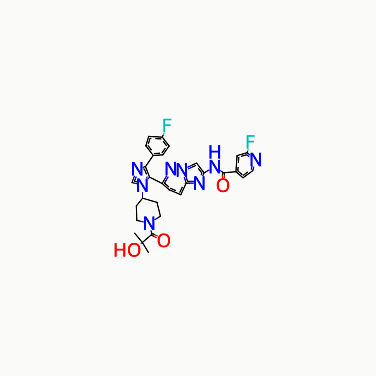 CC(C)(O)C(=O)N1CCC(n2cnc(-c3ccc(F)cc3)c2-c2ccc3nc(NC(=O)c4ccnc(F)c4)cn3n2)CC1